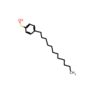 CCCCCCCCCCCCc1ccc(SO)cc1